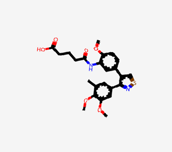 COc1ccc(-c2csnc2-c2cc(C)c(OC)c(OC)c2)cc1NC(=O)CCCC(=O)O